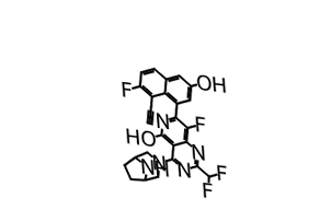 C#Cc1c(F)ccc2cc(O)cc(-c3nc(O)c4c(N5CC6CCC(C5)N6)nc(C(F)F)nc4c3F)c12